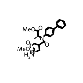 COC(=O)[C@H](C)N(C(=O)C(CC(C)C)CP(=O)(CN)OC)c1ccc(-c2ccccc2)cc1